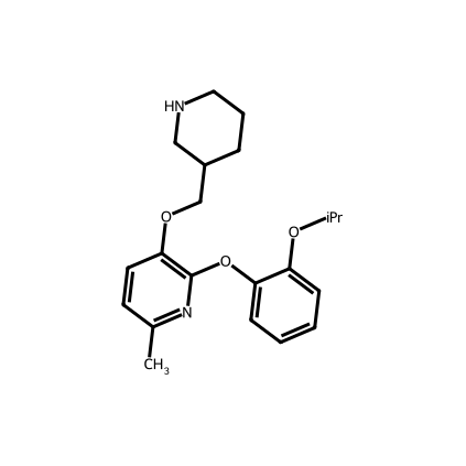 Cc1ccc(OCC2CCCNC2)c(Oc2ccccc2OC(C)C)n1